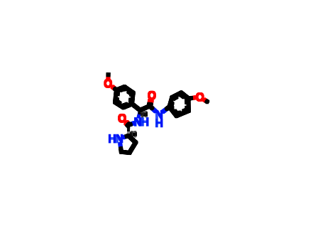 COc1ccc(NC(=O)[C@@H](NC(=O)[C@@H]2CCCN2)c2ccc(OC)cc2)cc1